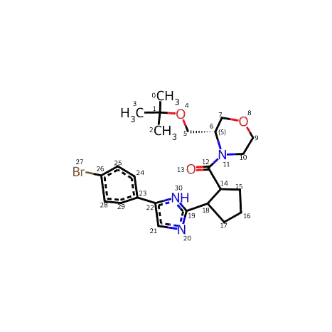 CC(C)(C)OC[C@@H]1COCCN1C(=O)C1CCCC1c1ncc(-c2ccc(Br)cc2)[nH]1